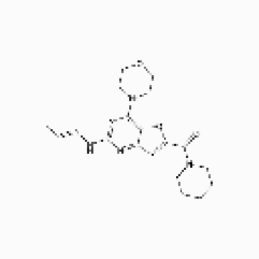 C/C=N/Nc1nc(N2CCOCC2)c2oc(C(=O)N3CCCCC3)cc2n1